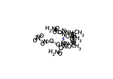 CCn1nc(C)cc1C(=O)Nc1nc2cc(S(N)(=O)=O)ccc2n1C/C=C/Cn1c(NC(=O)c2cc(C)nn2C)nc2cc(C(N)=O)cc(OCCCOC3CN(C(=O)CCN4C(=O)C=CC4=O)C3)c21